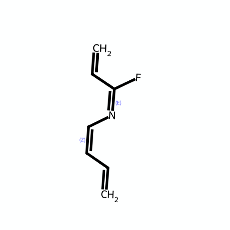 C=C/C=C\N=C(\F)C=C